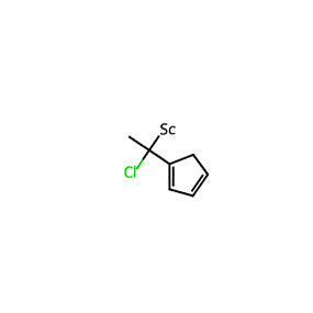 C[C](Cl)([Sc])C1=CC=CC1